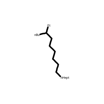 [CH2]CCCCCCCCCCCCC(CC)CCCC